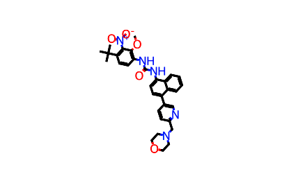 COc1c(NC(=O)Nc2ccc(-c3ccc(CN4CCOCC4)nc3)c3ccccc23)ccc(C(C)(C)C)c1[N+](=O)[O-]